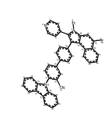 CCn1c(-c2ccncc2)c(-c2ccc(-c3ccc(-n4c5ccccc5c5ccccc54)c(C#N)c3)cc2)c2c3ccccc3c(Br)cc21